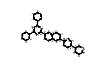 c1ccc(-c2nc(-c3ccccc3)nc(-c3ccc4cc(-c5ccc(-c6cccnc6)cn5)ccc4c3)n2)cc1